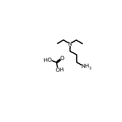 CCN(CC)CCCN.O=C(O)O